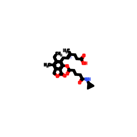 CCc1c(C)c2c(c(OC(=O)CCCC(=O)NC3CC3)c1C/C=C(\C)CCC(=O)O)C(=O)OC2